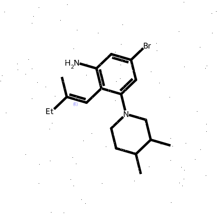 CC/C(C)=C/c1c(N)cc(Br)cc1N1CCC(C)C(C)C1